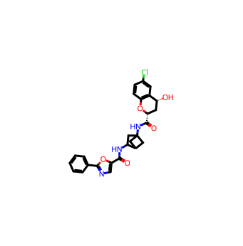 O=C(NC1CC2(NC(=O)[C@H]3C[C@@H](O)c4cc(Cl)ccc4O3)CC1C2)c1cnc(-c2ccccc2)o1